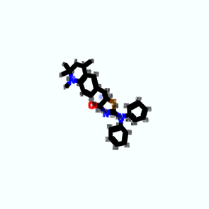 CC1CC(C)(C)N(C)c2ccc(/C=C3/SC(N(c4ccccc4)c4ccccc4)=NC3=O)cc21